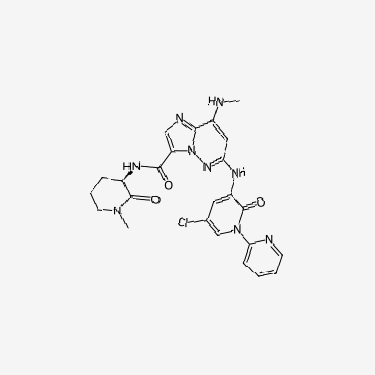 CNc1cc(Nc2cc(Cl)cn(-c3ccccn3)c2=O)nn2c(C(=O)N[C@@H]3CCCN(C)C3=O)cnc12